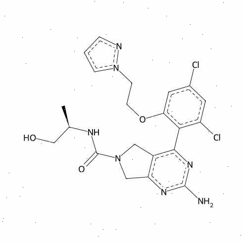 C[C@H](CO)NC(=O)N1Cc2nc(N)nc(-c3c(Cl)cc(Cl)cc3OCCn3cccn3)c2C1